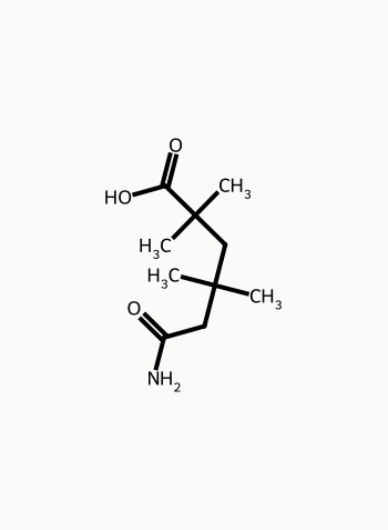 CC(C)(CC(N)=O)CC(C)(C)C(=O)O